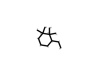 CCC1CC[C]C(C)(C)C1(C)C